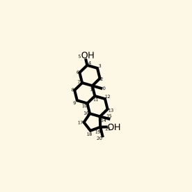 CC12CCC(O)CC1CCC1C2CCC2(C)C1CCC2(C)O